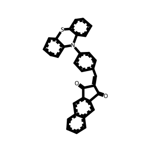 O=C1C(=Cc2ccc(N3c4ccccc4Sc4ccccc43)cc2)C(=O)c2cc3ccccc3cc21